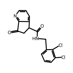 O=C1CC(C(=O)NCc2cccc(Cl)c2Cl)c2cccnc21